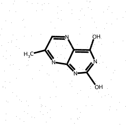 Cc1cnc2c(O)nc(O)nc2n1